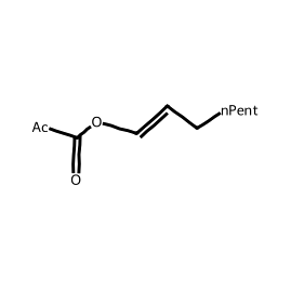 CCCCCCC=COC(=O)C(C)=O